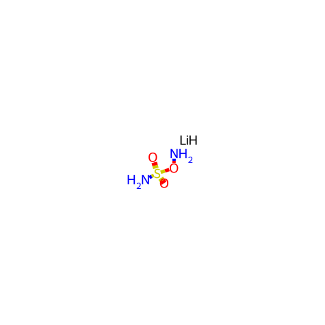 NOS(N)(=O)=O.[LiH]